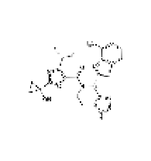 Cc1cccc2cc([C@@H]3c4nc[nH]c4CCN3C(=O)c3oc(C4(O)CC4)nc3C(F)F)nn12